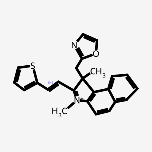 C[N+]1=C(/C=C/c2cccs2)C(C)(Cc2ncco2)c2c1ccc1ccccc21